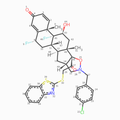 C[C@]12C=CC(=O)C=C1[C@@H](F)C[C@H]1[C@@H]3C[C@H]4CN(Cc5ccc(Cl)cc5)O[C@@]4(C(=O)CSc4nc5ccccc5s4)[C@@]3(C)C[C@H](O)[C@@]12F